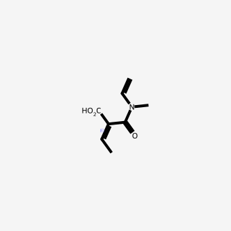 C=CN(C)C(=O)/C(=C\C)C(=O)O